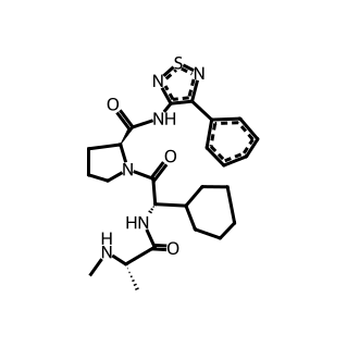 CN[C@@H](C)C(=O)N[C@H](C(=O)N1CCC[C@H]1C(=O)Nc1nsnc1-c1ccccc1)C1CCCCC1